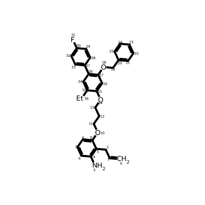 C=CCc1c(N)cccc1OCCCOc1cc(OCc2ccccc2)c(-c2ccc(F)cc2)cc1CC